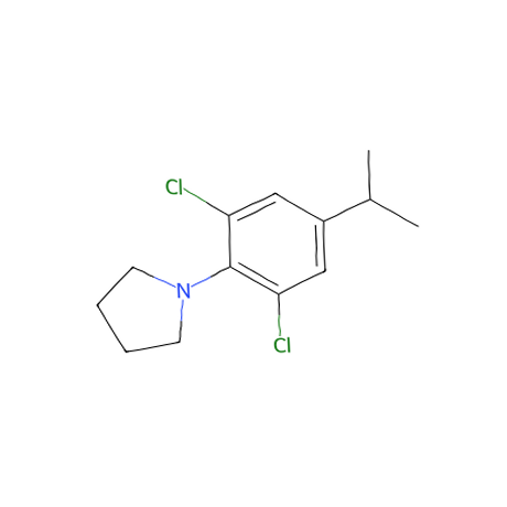 CC(C)c1cc(Cl)c(N2CCCC2)c(Cl)c1